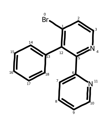 Brc1ccnc(-c2ccccn2)c1-c1ccccc1